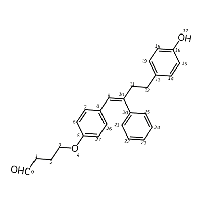 O=CCCCOc1ccc(C=C(CCc2ccc(O)cc2)c2ccccc2)cc1